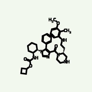 COc1cccc(NCC[C@@H]2CNCCN2C(=O)c2ncn([C@H]3CCCC[C@@H]3NC(=O)OC3CCC3)c2-c2ccccc2)c1C